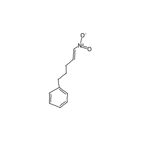 O=[N+]([O-])/C=C/CCCc1ccccc1